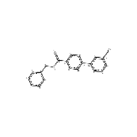 O=C(OCc1ccccc1)c1ccc(-c2cccc(I)c2)cc1